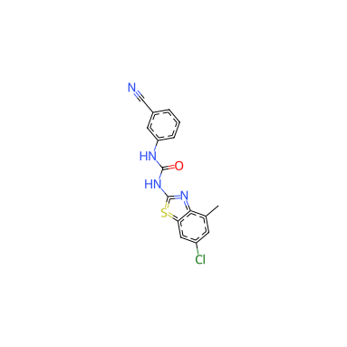 Cc1cc(Cl)cc2sc(NC(=O)Nc3cccc(C#N)c3)nc12